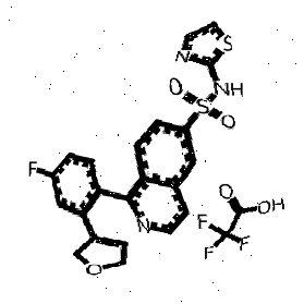 O=C(O)C(F)(F)F.O=S(=O)(Nc1nccs1)c1ccc2c(-c3ccc(F)cc3C3=CCOC3)nccc2c1